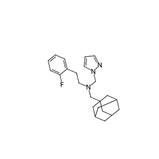 Fc1ccccc1CCN(Cn1cccn1)CC12CC3CC(CC(C3)C1)C2